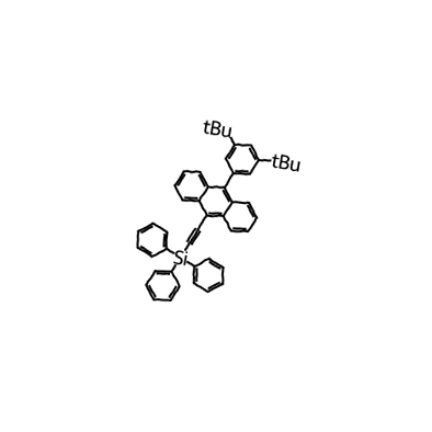 CC(C)(C)c1cc(-c2c3ccccc3c(C#C[Si](c3ccccc3)(c3ccccc3)c3ccccc3)c3ccccc23)cc(C(C)(C)C)c1